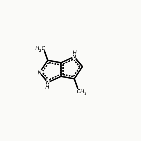 Cc1c[nH]c2c(C)n[nH]c12